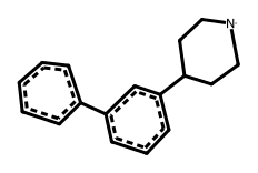 c1ccc(-c2cccc(C3CC[N]CC3)c2)cc1